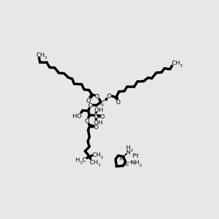 CCCCCCCCCCCCCC(=O)OC[C@H](COC(CO)C(OC(=O)CCCCCC(C)(C)C)P(=O)(O)O)OC(=O)CCCCCCCCCCCCC.N[C@@H]1CCCC[C@H]1N.[Pt]